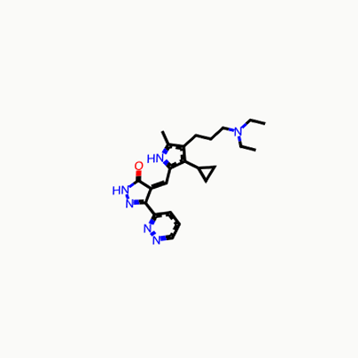 CCN(CC)CCCc1c(C)[nH]c(C=C2C(=O)NN=C2c2cccnn2)c1C1CC1